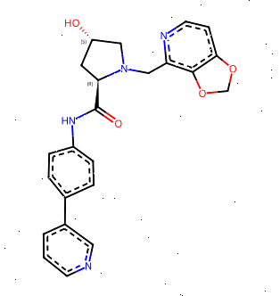 O=C(Nc1ccc(-c2cccnc2)cc1)[C@H]1C[C@H](O)CN1Cc1nccc2c1OCO2